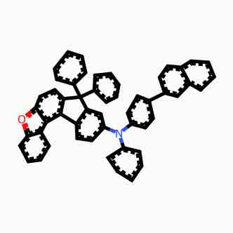 c1ccc(N(c2ccc(-c3ccc4ccccc4c3)cc2)c2ccc3c(c2)C(c2ccccc2)(c2ccccc2)c2ccc4oc5ccccc5c4c2-3)cc1